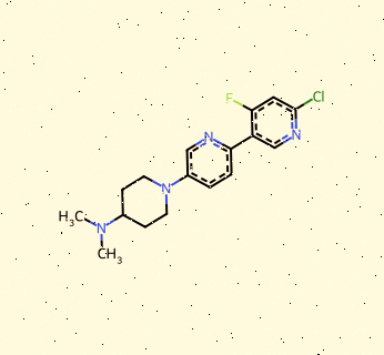 CN(C)C1CCN(c2ccc(-c3cnc(Cl)cc3F)nc2)CC1